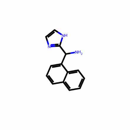 NC(c1ncc[nH]1)c1cccc2ccccc12